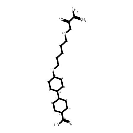 C=C(C)C(=O)COCCCCCOC1CCC(C2CCC(C(=O)O)CC2)CC1